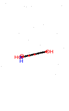 O=C(CCCCCCCCCCCCCCCCCCCCCCCCCCO)NO